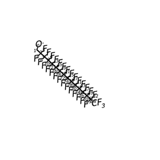 [O]CC(F)(F)C(F)(F)C(F)(F)C(F)(F)C(F)(F)C(F)(F)C(F)(F)C(F)(F)C(F)(F)C(F)(F)C(F)(F)C(F)(F)C(F)(F)C(F)(F)C(F)(F)F